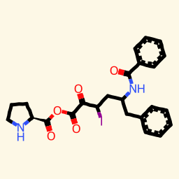 O=C(OC(=O)[C@@H]1CCCN1)C(=O)C(I)CC(Cc1ccccc1)NC(=O)c1ccccc1